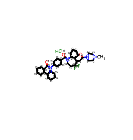 CN1CCN(C(=O)/C=C2\c3ccccc3N(C(=O)c3ccc(NC(=O)c4ccccc4-c4ccccc4)cc3)CCC2(F)F)CC1.Cl